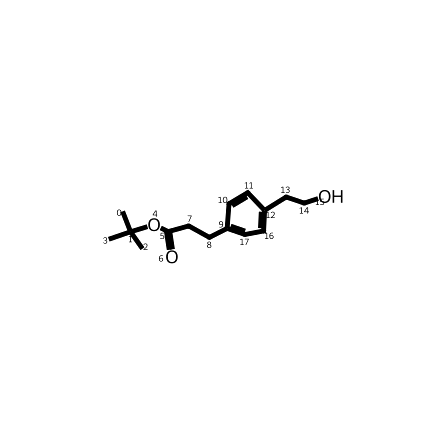 CC(C)(C)OC(=O)CCc1ccc(CCO)cc1